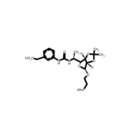 CCCCCCCCCCCCO[C@H]1O[C@H]([C@H](C)NC(=O)Nc2cccc(CC(=O)O)c2)[C@@H]2OC(C)(C)O[C@H]12